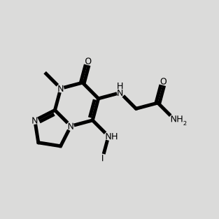 CN1C(=O)C(NCC(N)=O)=C(NI)N2CCN=C12